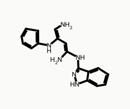 N/C=C(\C=C(/N)Nc1n[nH]c2ccccc12)Nc1ccccc1